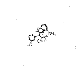 COc1cccc(C(c2cc3c(N)cccc3nc2C)C2(C(F)(F)F)CO2)c1